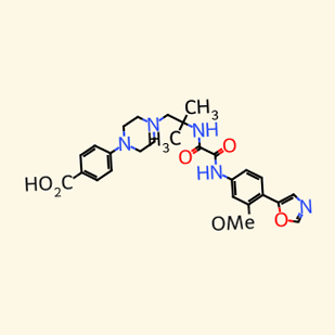 COc1cc(NC(=O)C(=O)NC(C)(C)CN2CCN(c3ccc(C(=O)O)cc3)CC2)ccc1-c1cnco1